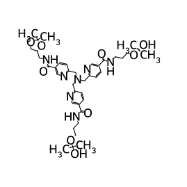 CC(C)(O)OCCCNC(=O)c1ccc(CN(Cc2ccc(C(=O)NCCCOC(C)(C)O)cn2)Cc2ccc(C(=O)NCC3COC(C)(C)O3)cn2)nc1